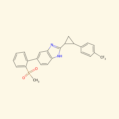 CS(=O)(=O)c1ccccc1-c1ccc2[nH]c(C3CC3c3ccc(C(F)(F)F)cc3)nc2c1